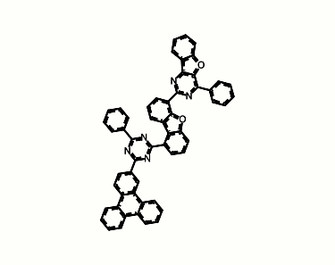 c1ccc(-c2nc(-c3ccc4c5ccccc5c5ccccc5c4c3)nc(-c3cccc4oc5c(-c6nc(-c7ccccc7)c7oc8ccccc8c7n6)cccc5c34)n2)cc1